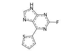 Fc1nc(-c2cccs2)c2nc[nH]c2n1